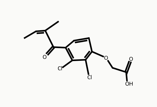 C/C=C(/C)C(=O)c1ccc(OCC(=O)O)c(Cl)c1Cl